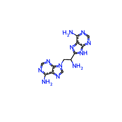 Nc1ncnc2[nH]c(C(N)Cn3cnc4c(N)ncnc43)nc12